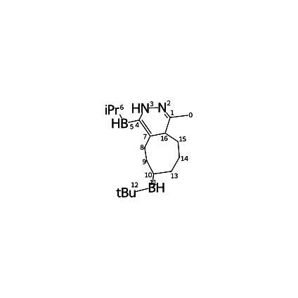 CC1=NNC(BC(C)C)=C2CCC(BC(C)(C)C)CCCC12